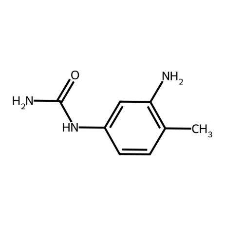 Cc1ccc(NC(N)=O)cc1N